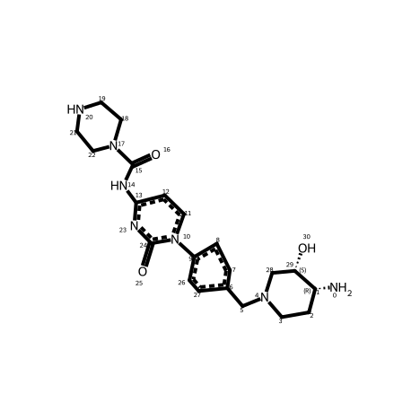 N[C@@H]1CCN(Cc2ccc(-n3ccc(NC(=O)N4CCNCC4)nc3=O)cc2)C[C@@H]1O